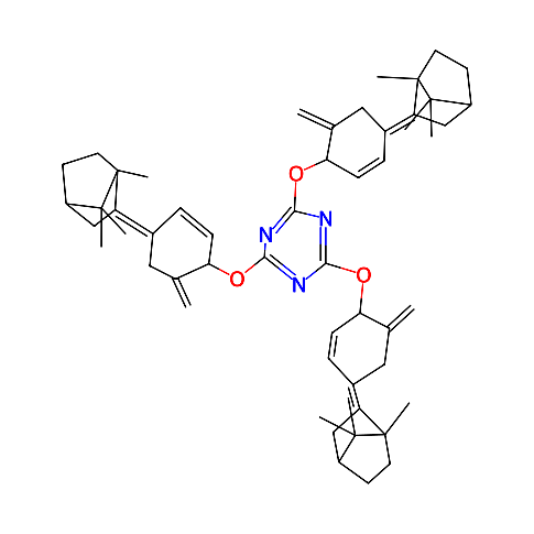 C=C1CC(=C2CC3CCC2(C)C3(C)C)C=CC1Oc1nc(OC2C=CC(=C3CC4CCC3(C)C4(C)C)CC2=C)nc(OC2C=CC(=C3CC4CCC3(C)C4(C)C)CC2=C)n1